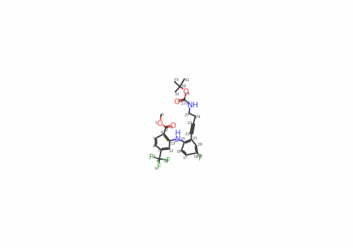 COC(=O)c1ccc(C(F)(F)F)cc1Nc1ccc(F)cc1C#CCCNC(=O)OC(C)(C)C